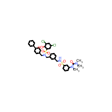 CN(C)C(=O)N(C)c1cccc(S(=O)(=O)NCc2cccc(CN(Cc3ccc(-c4ccccc4)cc3)S(=O)(=O)c3cc(Cl)cc(Cl)c3O)c2)c1